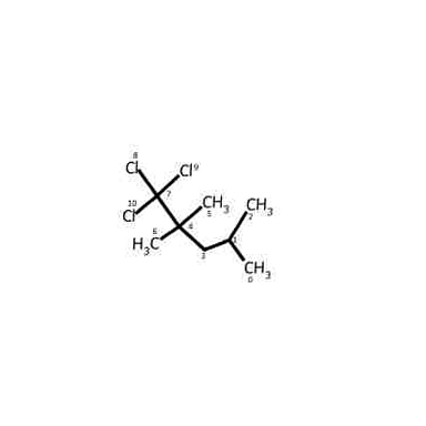 C[C](C)CC(C)(C)C(Cl)(Cl)Cl